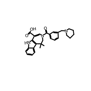 CC1(C)CN(C(=O)c2cccc(CN3CCCCC3)c2)C=C(C(=O)O)c2[nH]c3ccccc3c21